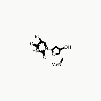 CCc1cn([C@@H]2CC(O)[C@H](CNC)O2)c(=O)[nH]c1=O